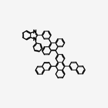 C1=CCC2C(=C1)C(c1ccc3ccccc3c1)=c1ccc(-c3c4ccccc4c(-c4cccc(-c5nc6ccccc6n5-c5ccccc5)c4)c4ccccc34)cc1=C2c1ccc2ccccc2c1